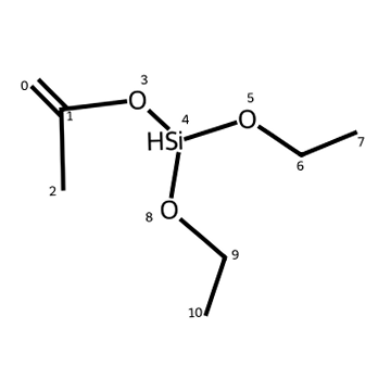 C=C(C)O[SiH](OCC)OCC